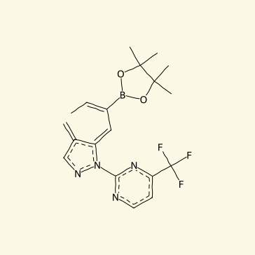 C=c1cnn(-c2nccc(C(F)(F)F)n2)/c1=C/C(=C\C)B1OC(C)(C)C(C)(C)O1